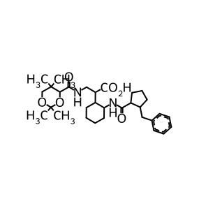 CC1(C)OCC(C)(C)C(C(=O)NCC(C(=O)O)C2CCCCC2NC(=O)C2CCCC2Cc2ccccc2)O1